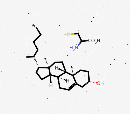 CC(C)CCCC(C)[C@H]1CC[C@H]2[C@@H]3CC=C4C[C@@H](O)CC[C@]4(C)[C@H]3CC[C@]12C.NC(CS)C(=O)O